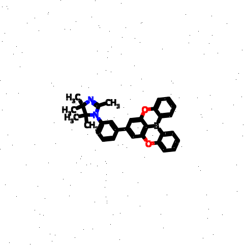 CC1=NC(C)(C)C(C)(C)N1c1cccc(-c2cc3c4c(c2)Oc2ccccc2B4c2ccccc2O3)c1